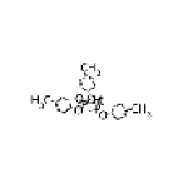 Cc1ccc(O[PH](=O)CP(=O)(Oc2ccc(C)cc2)Oc2ccc(C)cc2)cc1